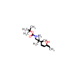 C=C(/C=C\C(O)=C/C)C(C)(C)CNC(=O)OC(C)(C)C